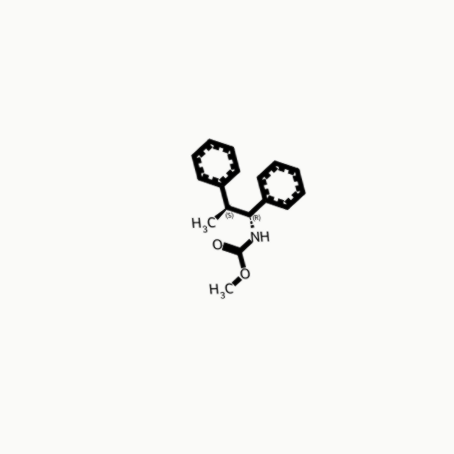 COC(=O)N[C@@H](c1ccccc1)[C@@H](C)c1ccccc1